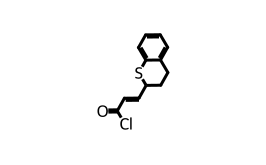 O=C(Cl)C=CC1CCc2ccccc2S1